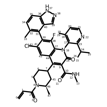 C=CC(=O)N1CCC(c2c(C(=O)NC)c(=O)n(-c3c(C)ccnc3C(C)C)c3c(F)c(-c4c(C)ccc5[nH]ncc45)c(Cl)cc23)C[C@H]1C